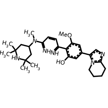 COc1cc(-c2cnc3n2CCCC3)cc(O)c1C(=N)/C=C\C(=N)N(C)C1CC(C)(C)NC(C)(C)C1